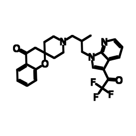 CC(CN1CCC2(CC1)CC(=O)c1ccccc1O2)Cn1cc(C(=O)C(F)(F)F)c2cccnc21